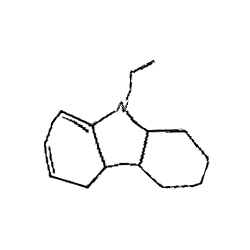 CCN1C2=CC=CCC2C2CCCCC21